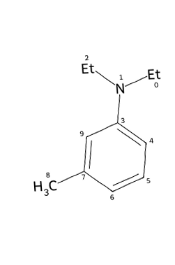 [CH2]CN(CC)c1cccc(C)c1